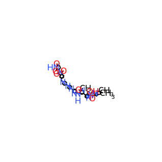 Cn1cc(-c2ccnc(N3CCn4c(cc5c4CC(C)(C)C5)C3=O)c2CO)cc(Nc2ccc(N3CCN(C4CCN(Cc5ccc6c(c5)C(=O)N(C5CCC(=O)NC5=O)C6=O)CC4)CC3)cn2)c1=O